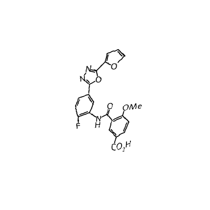 COc1ccc(C(=O)O)cc1C(=O)Nc1cc(-c2nnc(-c3ccco3)o2)ccc1F